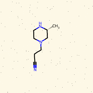 C[C@@H]1CN(CCC#N)CCN1